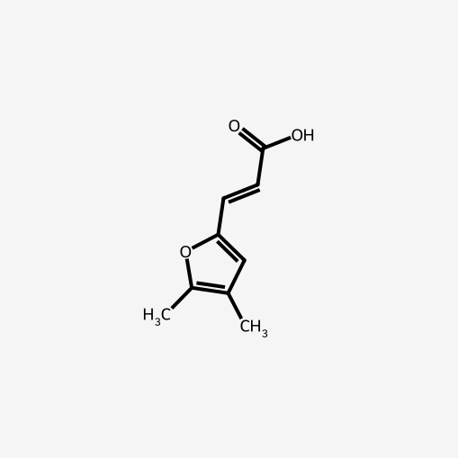 Cc1cc(C=CC(=O)O)oc1C